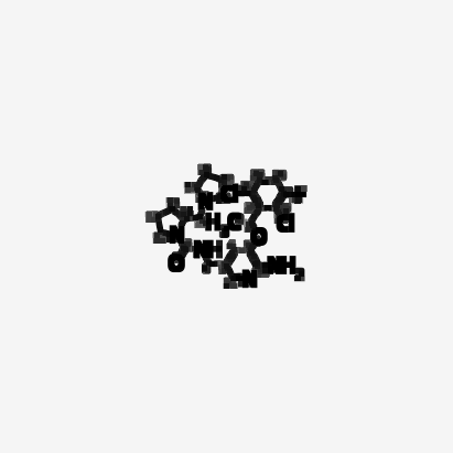 C[C@@H](Oc1cc(CNC(=O)N2CCCC2CN2CCCC2)cnc1N)c1c(Cl)ccc(F)c1Cl